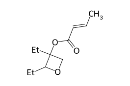 CC=CC(=O)OC1(CC)COC1CC